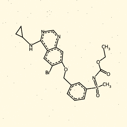 CCOC(=O)N=S(C)(=O)c1cccc(COc2cc3ncnc(NC4CC4)c3cc2Br)c1